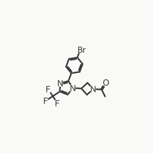 CC(=O)N1CC(n2cc(C(F)(F)F)nc2-c2ccc(Br)cc2)C1